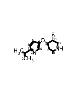 CC(C)c1ccc(O[C@H]2CCNC[C@H]2F)cn1